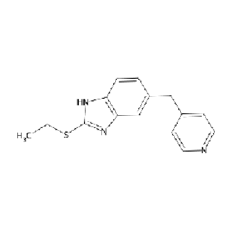 CCSc1nc2cc(Cc3ccncc3)ccc2[nH]1